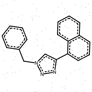 c1ccc(Cn2cc(-c3cccc4ccccc34)nn2)cc1